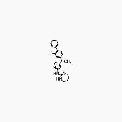 CC(c1ccc(-c2ccccc2)c(F)c1)c1cc(NC2=NCCCCN2)no1